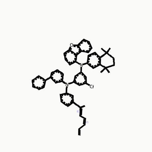 C=C/C=C\C=C(/C)c1cccc(N(c2cccc(-c3ccccc3)c2)c2cc(Cl)cc(N(c3ccc4c(c3)C(C)(C)CCC4(C)C)c3cccc4oc5ccccc5c34)c2)c1